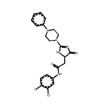 O=C(CC1NC(N2CCN(c3ccccc3)CC2)=NC1=O)Nc1ccc(Cl)c(Cl)c1